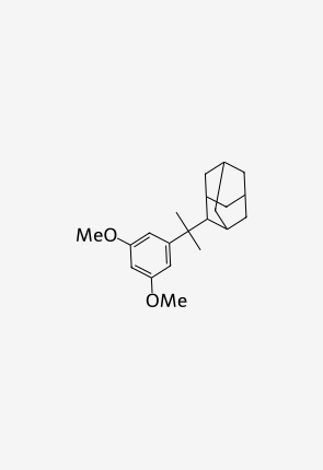 COc1cc(OC)cc(C(C)(C)C2C3CC4CC(C3)CC2C4)c1